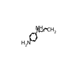 C=CCN(N)c1ccc(N)cc1